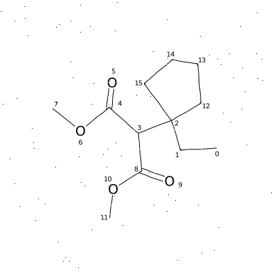 CCC1(C(C(=O)OC)C(=O)OC)CCCC1